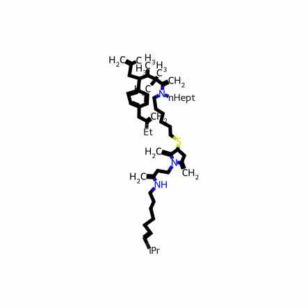 C=C(C)CC(c1ccc(CC(=C)CC)cc1)C(C)C(C)(C)C(=C)N(CCCCCCC)CCCCCCSC1CC(=C)N(CCC(=C)NCCCCCC=CC(C)C)C1=C